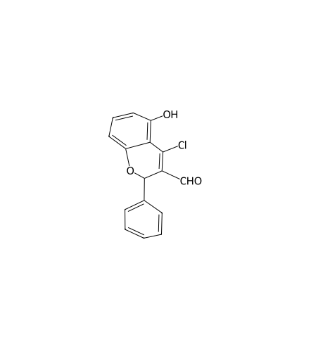 O=CC1=C(Cl)c2c(O)cccc2OC1c1ccccc1